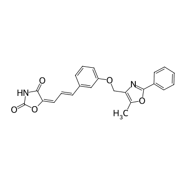 Cc1oc(-c2ccccc2)nc1COc1cccc(C=CC=C2OC(=O)NC2=O)c1